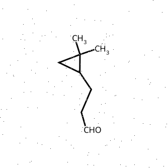 CC1(C)CC1CCC=O